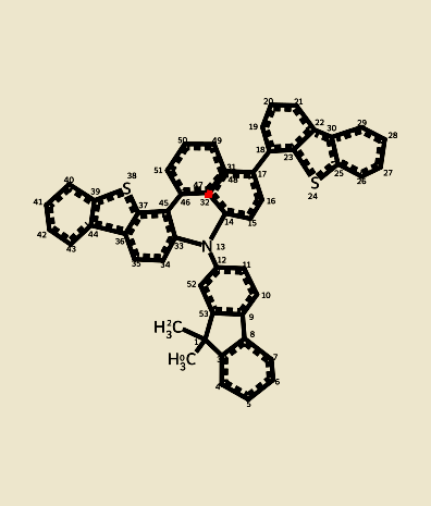 CC1(C)c2ccccc2-c2ccc(N(c3ccc(-c4cccc5c4sc4ccccc45)cc3)c3ccc4c(sc5ccccc54)c3-c3ccccc3)cc21